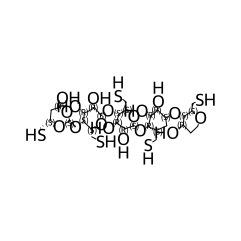 O[C@@H]1[C@@H](O)[C@@H](O[C@H]2[C@H](O)CCO[C@@H]2CS)C[C@H](CS)[C@H]1O[C@H]1O[C@H](CS)[C@@H](O[C@H]2O[C@H](CS)[C@@H](O[C@H]3O[C@H](CS)C[C@H](O)O3)[C@H](O)[C@H]2O)[C@H](O)[C@H]1O